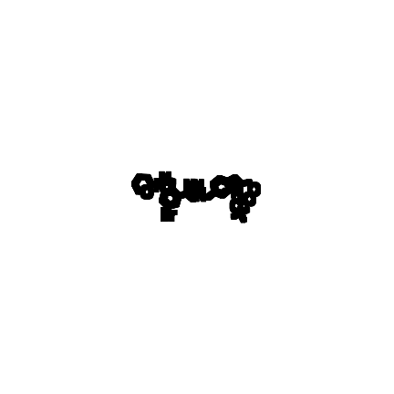 CC(C)(C)OC(=O)n1c(C=O)cc2ccc(Cn3cc(-c4cc(Br)cc5c4cnn5C4CCCCO4)nn3)cc21